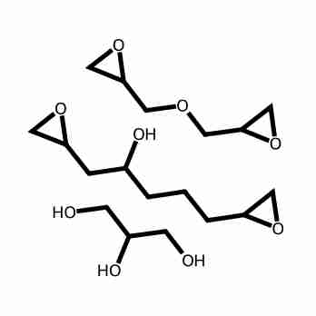 C(OCC1CO1)C1CO1.OC(CCCC1CO1)CC1CO1.OCC(O)CO